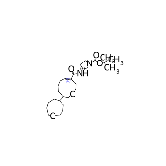 CC(C)(C)OC(=O)N1CC[C@@H](NC(=O)/C2=C/CCCC(C3CCCCCCCC3)CCCC2)C1